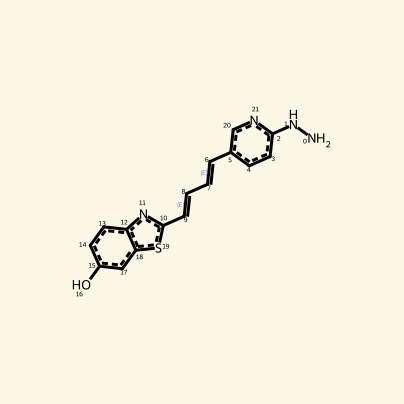 NNc1ccc(/C=C/C=C/c2nc3ccc(O)cc3s2)cn1